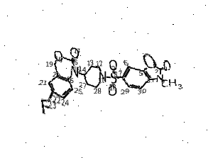 Cn1c(=O)oc2cc(S(=O)(=O)N3CCC(N4C(=O)OCc5cc(F)ccc54)CC3)ccc21